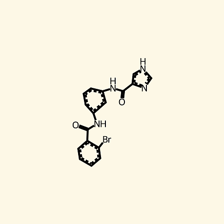 O=C(Nc1cccc(NC(=O)c2ccccc2Br)c1)c1c[nH]cn1